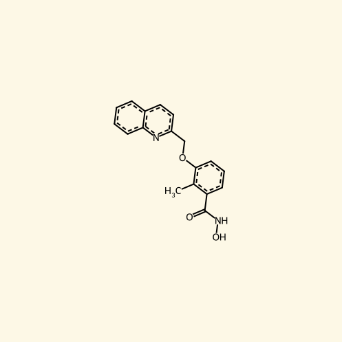 Cc1c(OCc2ccc3ccccc3n2)cccc1C(=O)NO